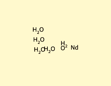 O.O.O.O.O.[Nd]